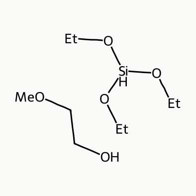 CCO[SiH](OCC)OCC.COCCO